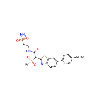 CCCS(=O)(=O)C(C(=O)NCCS(N)(=O)=O)c1nc2ccc(-c3ccc(NC(C)=O)cc3)cc2s1